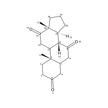 C[C@]12CCC(=O)CC1CC(=O)[C@@H]1C2CC(=O)[C@]2(C)CCC[C@@H]12